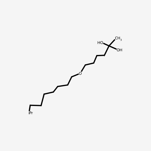 CC(C)CCCCCCCOCCC[CH]C(C)(O)O